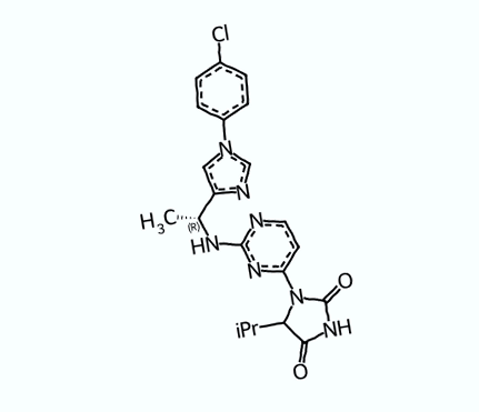 CC(C)C1C(=O)NC(=O)N1c1ccnc(N[C@H](C)c2cn(-c3ccc(Cl)cc3)cn2)n1